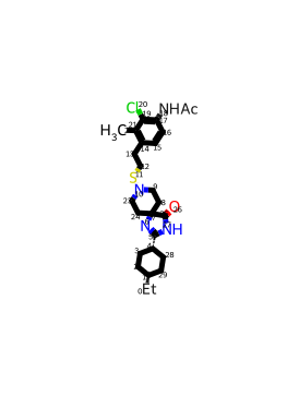 CC[C@H]1CC[C@H](C2=NC3(CCN(SCCc4ccc(NC(C)=O)c(Cl)c4C)CC3)C(=O)N2)CC1